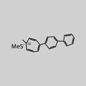 CS[C@@]1(C)C=CC=C(c2ccc(-c3ccccc3)cc2)C=C1